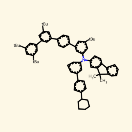 CC(C)(C)c1cc(-c2ccc(-c3cc(N(c4cccc(-c5ccc(C6CCCCC6)cc5)c4)c4ccc5c(c4)C(C)(C)c4ccccc4-5)cc(C(C)(C)C)c3)cc2)cc(-c2cc(C(C)(C)C)cc(C(C)(C)C)c2)c1